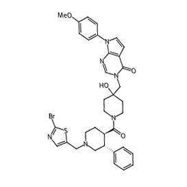 COc1ccc(-n2ccc3c(=O)n(CC4(O)CCN(C(=O)[C@@H]5CCN(Cc6cnc(Br)s6)C[C@H]5c5ccccc5)CC4)cnc32)cc1